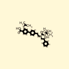 CC(C)Sc1cc(-c2ccc(CCN(C[C@@H](O)c3ccccc3)C(=O)OC(C)(C)C)cc2)ccc1C(=O)O